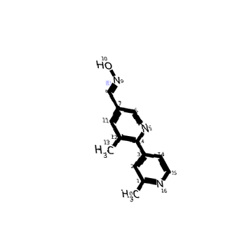 Cc1cc(-c2ncc(/C=N/O)cc2C)ccn1